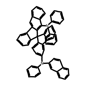 c1ccc(N(c2ccc3c(c2)-c2ccccc2C32c3ccccc3-c3cc4ccccc4c(N(c4ccccc4)c4ccccc4)c32)c2ccc3ccccc3c2)cc1